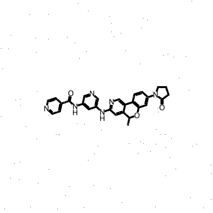 CC1Oc2cc(N3CCCC3=O)ccc2-c2cnc(Nc3cncc(NC(=O)c4ccncc4)c3)cc21